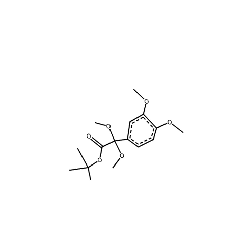 COc1ccc(C(OC)(OC)C(=O)OC(C)(C)C)cc1OC